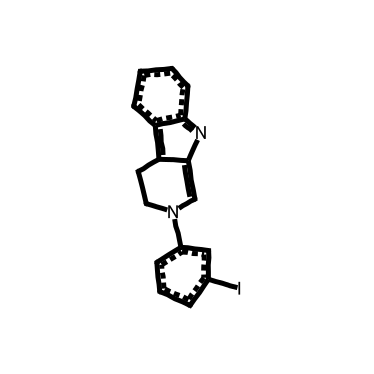 Ic1cccc(N2C=C3N=c4ccccc4=C3CC2)c1